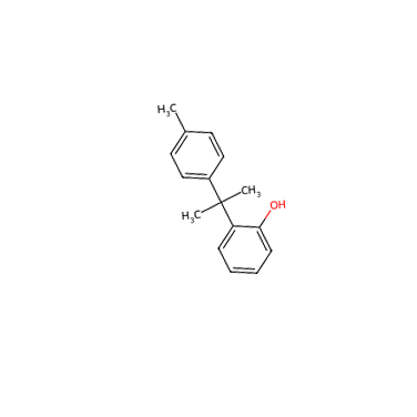 Cc1ccc(C(C)(C)c2ccccc2O)cc1